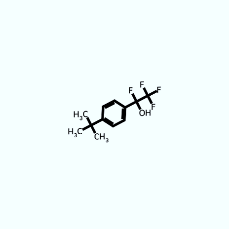 CC(C)(C)c1ccc(C(O)(F)C(F)(F)F)cc1